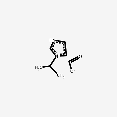 CC(C)[n+]1cc[nH]c1.O=C[O-]